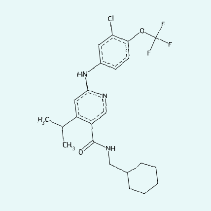 CC(C)c1cc(Nc2ccc(OC(F)(F)F)c(Cl)c2)ncc1C(=O)NCC1CCCCC1